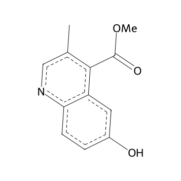 COC(=O)c1c(C)cnc2ccc(O)cc12